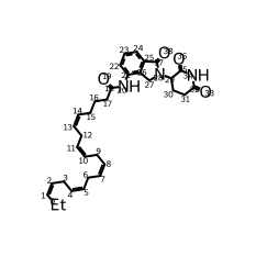 CC/C=C\C/C=C\C/C=C\C/C=C\C/C=C\CCCC(=O)Nc1cccc2c1CN(C1CCC(=O)NC1=O)C2=O